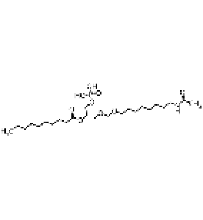 CCCCCCCCCC(=O)O[C@@H](COCOCCCCCCCCNC(C)=O)COP(=O)(O)O